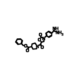 N=C(N)c1ccc(N2CC(C(=O)N3CCC(C(=O)OCc4ccccc4)CC3)OC2=O)cc1